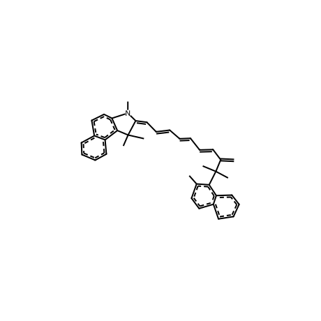 C=C(/C=C/C=C/C=C/C=C1/N(C)c2ccc3ccccc3c2C1(C)C)C(C)(C)c1c(C)ccc2ccccc12